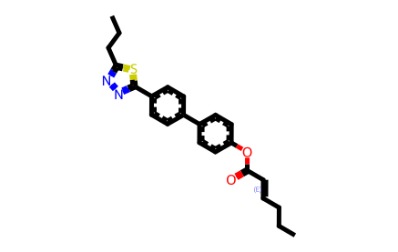 CCC/C=C/C(=O)Oc1ccc(-c2ccc(-c3nnc(CCC)s3)cc2)cc1